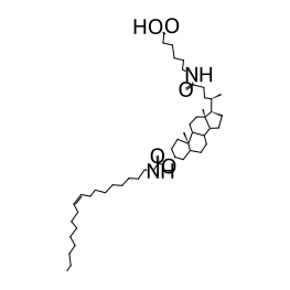 CCCCCCCC/C=C\CCCCCCCCNC(=O)O[C@@H]1CC[C@@]2(C)C(CCC3C2CC[C@@]2(C)C3CC[C@@H]2[C@H](C)CCC(=O)NCCCCCC(=O)O)C1